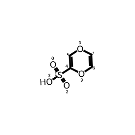 O=S(=O)(O)C1=COC=CO1